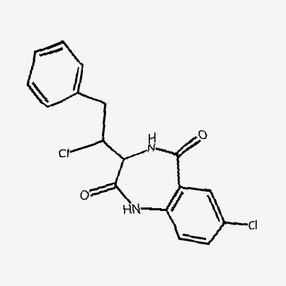 O=C1NC(C(Cl)Cc2ccccc2)C(=O)Nc2ccc(Cl)cc21